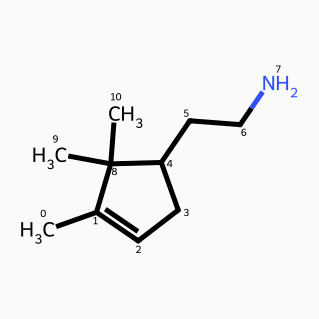 CC1=CCC(CCN)C1(C)C